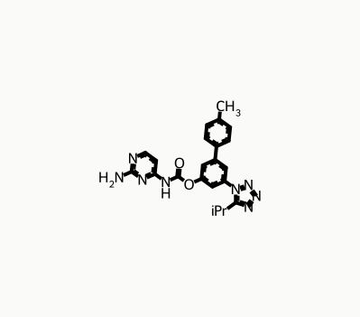 Cc1ccc(-c2cc(OC(=O)Nc3ccnc(N)n3)cc(-n3nnnc3C(C)C)c2)cc1